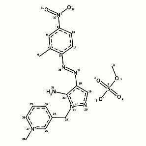 COS(=O)(=O)[O-].Cc1cc([N+](=O)[O-])ccc1N=Nc1cnn(Cc2ccc[n+](C)c2)c1N